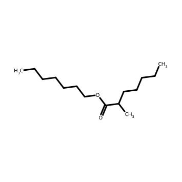 CCCCCCCOC(=O)C(C)CCCCC